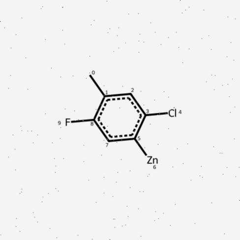 Cc1cc(Cl)[c]([Zn])cc1F